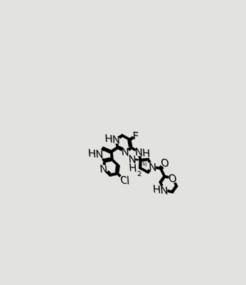 N[C@]1(NC2=C(F)CNC(c3c[nH]c4ncc(Cl)cc34)=N2)CCN(C(=O)C2CNCCO2)C1